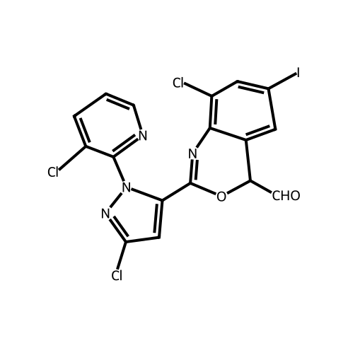 O=CC1OC(c2cc(Cl)nn2-c2ncccc2Cl)=Nc2c(Cl)cc(I)cc21